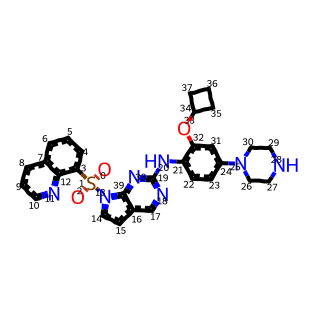 O=S(=O)(c1cccc2cccnc12)n1ccc2cnc(Nc3ccc(N4CCNCC4)cc3OC3CCC3)nc21